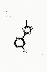 CC(=O)c1ccnc(-c2nc(C)no2)c1